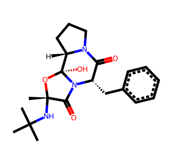 CC(C)(C)N[C@]1(C)O[C@@]2(O)[C@@H]3CCCN3C(=O)[C@H](Cc3ccccc3)N2C1=O